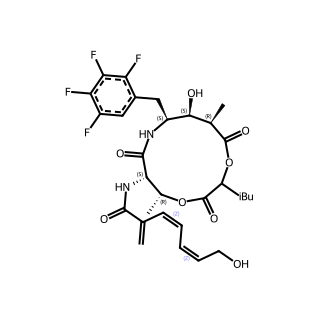 C=C(/C=C\C=C/CO)C(=O)N[C@@H]1C(=O)N[C@@H](Cc2cc(F)c(F)c(F)c2F)[C@@H](O)[C@@H](C)C(=O)OC(C(C)CC)C(=O)O[C@@H]1C